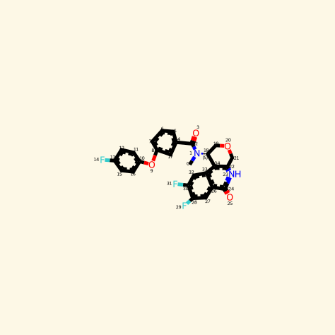 CN(C(=O)c1cccc(Oc2ccc(F)cc2)c1)[C@@H]1COCc2[nH]c(=O)c3cc(F)c(F)cc3c21